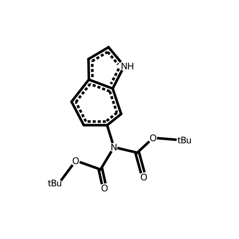 CC(C)(C)OC(=O)N(C(=O)OC(C)(C)C)c1ccc2cc[nH]c2c1